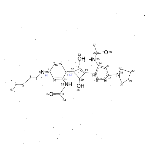 CCCCC/N=C1C=C/C(=C2\C(O)=C(c3ccc(N4CCCC4)cc3NC(C)=O)C2O)C(NC(C)=O)=C/1